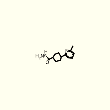 Cc1cccc(C2CCC(C(=O)NN)CC2)n1